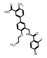 CCCOc1ccc(-c2ccc(C)c(C(=O)O)c2)cc1CNC(=O)c1ccc(Br)cc1F